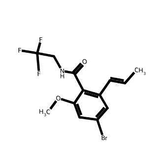 C/C=C/c1cc(Br)cc(OC)c1C(=O)NCC(F)(F)F